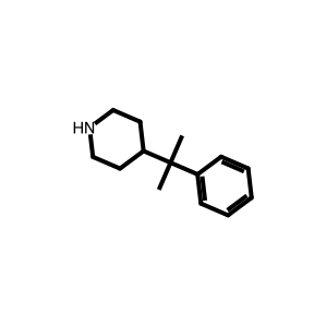 CC(C)(c1ccccc1)C1CCNCC1